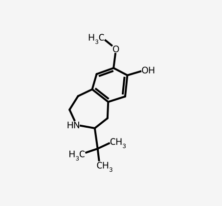 COc1cc2c(cc1O)CC(C(C)(C)C)NCC2